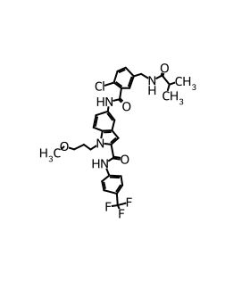 COCCCn1c(C(=O)Nc2ccc(C(F)(F)F)cc2)cc2cc(NC(=O)c3cc(CNC(=O)C(C)C)ccc3Cl)ccc21